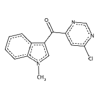 Cn1cc(C(=O)c2cc(Cl)ncn2)c2ccccc21